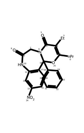 CCCC1=C(CC)C(=O)N2CC(=O)Nc3cc([N+](=O)[O-])ccc3C2(c2ccccc2)O1